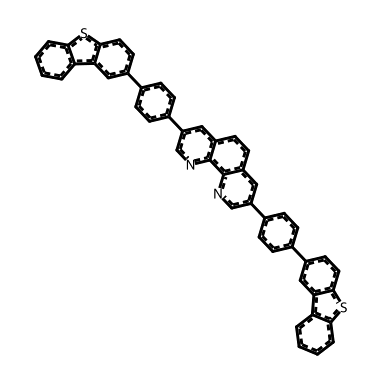 c1ccc2c(c1)sc1ccc(-c3ccc(-c4cnc5c(ccc6cc(-c7ccc(-c8ccc9sc%10ccccc%10c9c8)cc7)cnc65)c4)cc3)cc12